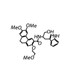 COCCOc1cc2c(cc1C(=O)NC(CO)Cc1c[nH]c3ccccc13)-c1cc(OC)c(OC)cc1CC2